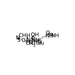 Cc1ncsc1-c1ccc([C@H](C)NC(=O)[C@@H]2C[C@@H](O)CN2C(=O)[C@@H](NC(=O)CCCCCNC(=O)[C@@H]2CCNC2)C(C)(C)C)cc1